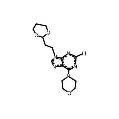 Clc1nc(N2CCOCC2)c2ncn(CCC3OCCCO3)c2n1